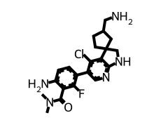 CN(C)C(=O)c1c(N)ccc(-c2cnc3c(c2Cl)C2(CCC(CN)C2)CN3)c1F